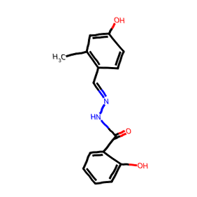 Cc1cc(O)ccc1C=NNC(=O)c1ccccc1O